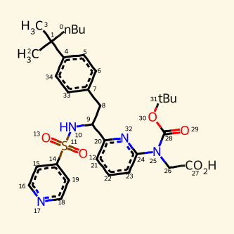 CCCCC(C)(C)c1ccc(CC(NS(=O)(=O)c2ccncc2)c2cccc(N(CC(=O)O)C(=O)OC(C)(C)C)n2)cc1